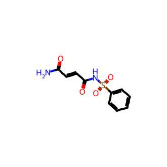 NC(=O)C=CC(=O)NS(=O)(=O)c1ccccc1